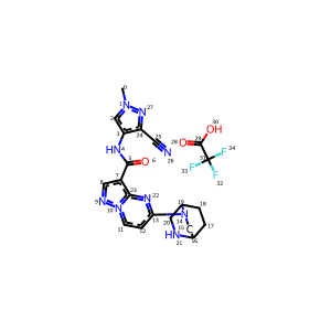 Cn1cc(NC(=O)c2cnn3ccc(N4CC5CCC4CN5)nc23)c(C#N)n1.O=C(O)C(F)(F)F